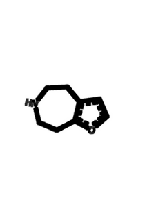 c1cc2c(o1)CCNCC2